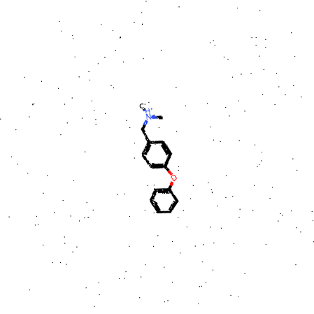 [CH2-][NH+](C)Cc1ccc(Oc2ccccc2)cc1